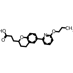 CCCOc1cccc(-c2ccc3c(c2)CCC(CCC(=O)O)O3)n1